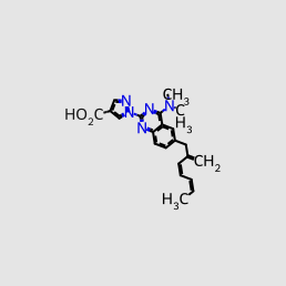 C=C(/C=C\C=C/C)Cc1ccc2nc(-n3cc(C(=O)O)cn3)nc(N(C)C)c2c1